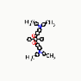 Cc1ccc(N(c2ccc(C)cc2)c2ccc3cc4c(cc3c2)oc2c(-c3ccccc3)c3oc5cc6cc(N(c7ccc(C)cc7)c7ccc(C)cc7)ccc6cc5c3c(-c3ccccc3)c24)cc1